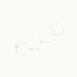 O=C(Nc1ncc[nH]1)Nc1ncc[nH]1